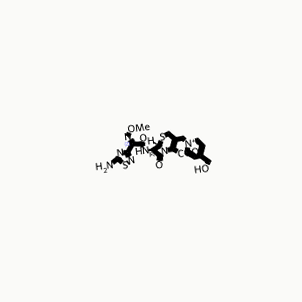 CO/N=C(\C(=O)N[C@@H]1C(=O)N2C(C(=O)[O-])=C(C[n+]3ccc(CO)cc3)CS[C@H]12)c1nsc(N)n1